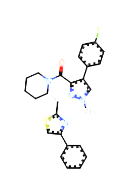 Cn1cc(-c2ccc(F)cc2)c(C(=O)N2CCCC[C@H]2Cc2nc(-c3ccccc3)cs2)n1